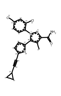 Cc1c(C(N)=O)nn(-c2ccc(Cl)cc2Cl)c1-c1ccc(C#CC2CC2)s1